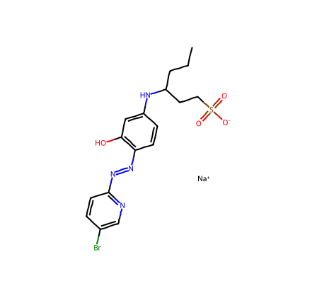 CCCC(CCS(=O)(=O)[O-])Nc1ccc(N=Nc2ccc(Br)cn2)c(O)c1.[Na+]